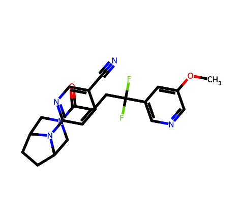 COc1cncc(C(F)(F)CCC(=O)N2CC3CCC(C2)N3c2ccc(C#N)cn2)c1